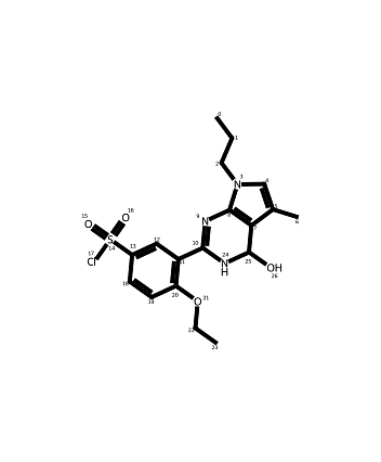 CCCn1cc(C)c2c1N=C(c1cc(S(=O)(=O)Cl)ccc1OCC)NC2O